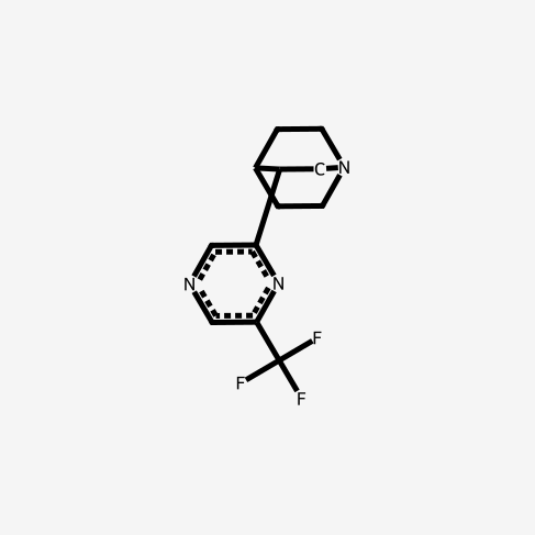 FC(F)(F)c1cncc(C2CN3CCC2CC3)n1